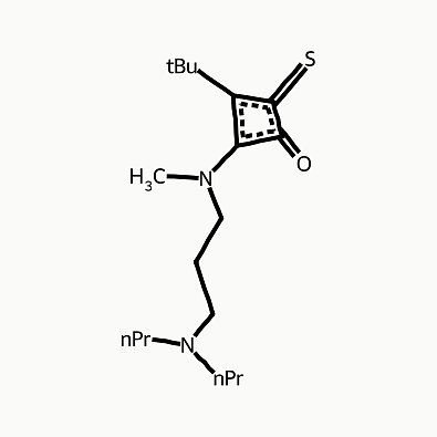 CCCN(CCC)CCCN(C)c1c(C(C)(C)C)c(=S)c1=O